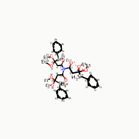 CCOC(CC(OCC)(OCC)[SiH2]c1ccccc1)N(C(CC(OCC)(OCC)[SiH2]c1ccccc1)OCC)C(CC(OCC)(OCC)[SiH2]c1ccccc1)OCC